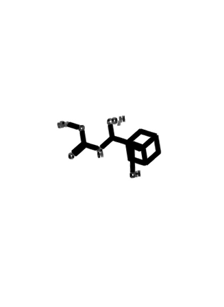 CC(C)(C)OC(=O)NC(C(=O)O)C12CC(O)=C3C(CC3C1)C2